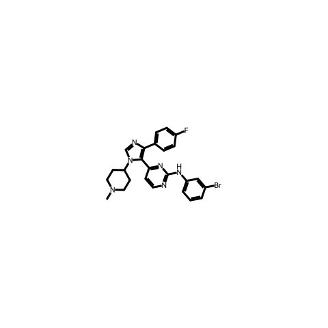 CN1CCC(n2cnc(-c3ccc(F)cc3)c2-c2ccnc(Nc3cccc(Br)c3)n2)CC1